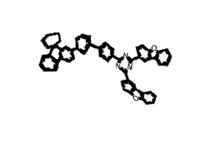 c1cc(-c2ccc(-c3nc(-c4ccc5oc6ccccc6c5c4)nc(-c4ccc5oc6ccccc6c5c4)n3)cc2)cc(-c2ccc3c(c2)C2(CCCCC2)c2ccccc2-3)c1